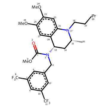 COC(=O)N(Cc1cc(C(F)(F)F)cc(C(F)(F)F)c1)[C@H]1C[C@@H](C)N(CCC(C)C)c2cc(OC)c(OC)cc21